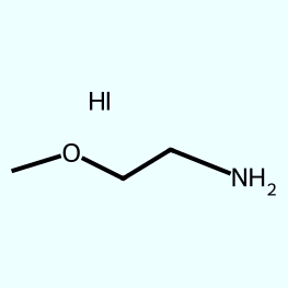 COCCN.I